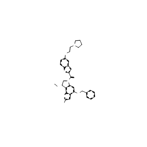 Cc1cc2c(OCc3ccccc3)cc3c(c2s1)[C@H](CCl)CN3C(=O)c1cc2cc(OCCN3CCCC3)ccc2[nH]1